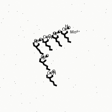 CCCCC(CC)C[PH](=O)[O-].CCCCC(CC)C[PH](=O)[O-].CCCCC(CC)C[PH](=O)[O-].CCCCC(CC)C[PH](=O)[O-].CCCCC(CC)C[PH](=O)[O-].CCCCC(CC)C[PH](=O)[O-].[Mo+6]